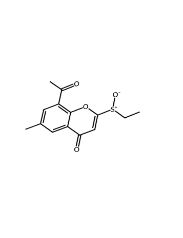 CC[S+]([O-])c1cc(=O)c2cc(C)cc(C(C)=O)c2o1